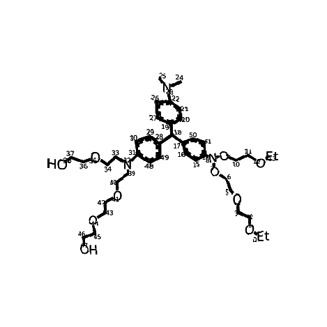 CCOCCOCCON(OCCOCC)c1ccc(C(c2ccc(N(C)C)cc2)c2ccc(N(CCOCCO)CCOCCOCCO)cc2)cc1